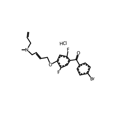 C=CCN(C)CC=CCOc1cc(F)c(C(=O)c2ccc(Br)cc2)cc1F.Cl